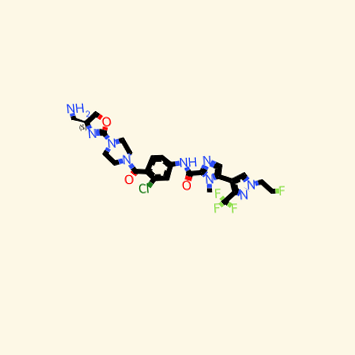 Cn1c(-c2cn(CCF)nc2C(F)(F)F)cnc1C(=O)Nc1ccc(C(=O)N2CCN(C3=N[C@@H](CN)CO3)CC2)c(Cl)c1